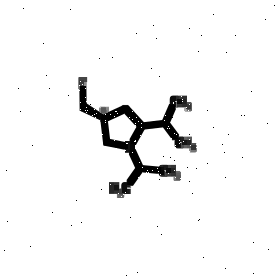 CC(C)C1C[C@H](CF)CN1C(C)C